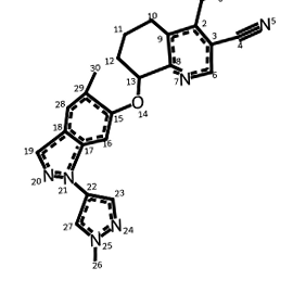 CCc1c(C#N)cnc2c1CCCC2Oc1cc2c(cnn2-c2cnn(C)c2)cc1C